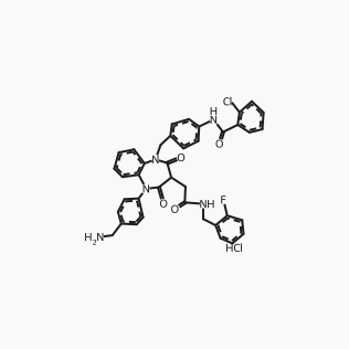 Cl.NCc1ccc(N2C(=O)C(CC(=O)NCc3ccccc3F)C(=O)N(Cc3ccc(NC(=O)c4ccccc4Cl)cc3)c3ccccc32)cc1